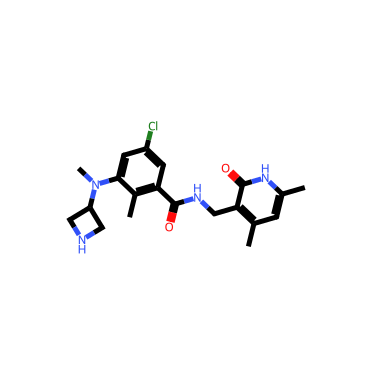 Cc1cc(C)c(CNC(=O)c2cc(Cl)cc(N(C)C3CNC3)c2C)c(=O)[nH]1